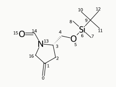 C=C1C[C@@H](CO[Si](C)(C)C(C)(C)C)N(C=O)C1